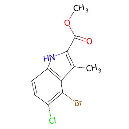 COC(=O)c1[nH]c2ccc(Cl)c(Br)c2c1C